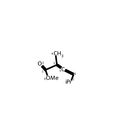 COC(=O)C(C)=C=CC(C)C